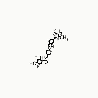 Cc1cc(C)nc(-c2ccc3cn(C4CCC(CNC(=O)c5cc(F)c(O)c(F)c5)CC4)nc3c2)n1